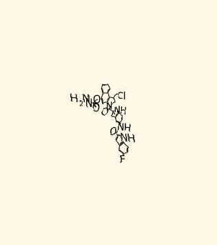 CN(N)C(=O)Oc1cc2c(c3ccccc13)C(CCl)CN2C(=O)c1cc2cc(NC(=O)c3cc4cc(F)ccc4[nH]3)ccc2[nH]1